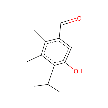 Cc1c(C=O)cc(O)c(C(C)C)c1C